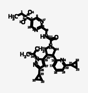 CCS(=O)(=O)c1cnc(CNC(=O)N2CC(c3cccc(C4CC4)n3)C(c3cc(C4CC4)nn3C(C)C)C2)nc1